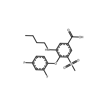 CCCCNc1cc(C(=O)O)cc(S(C)(=O)=O)c1Oc1ccc(F)cc1F